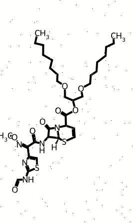 CCCCCCCCOCC(COCCCCCCCC)OC(=O)C1C=CS[C@@H]2C(NC(=O)/C(=N\OC)c3csc(NC=O)n3)C(=O)N12